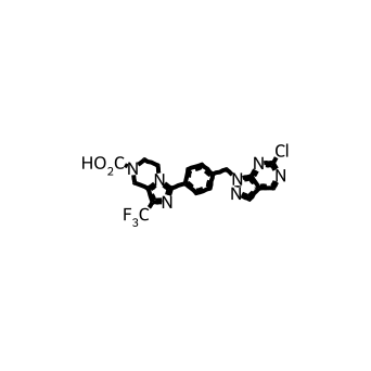 O=C(O)N1CCn2c(-c3ccc(Cn4ncc5cnc(Cl)nc54)cc3)nc(C(F)(F)F)c2C1